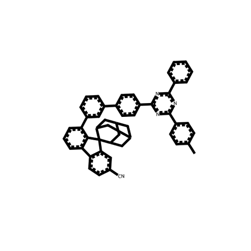 Cc1ccc(-c2nc(-c3ccccc3)nc(-c3ccc(-c4cccc(-c5cccc6c5C5(c7cc(C#N)ccc7-6)C6CC7CC(C6)CC5C7)c4)cc3)n2)cc1